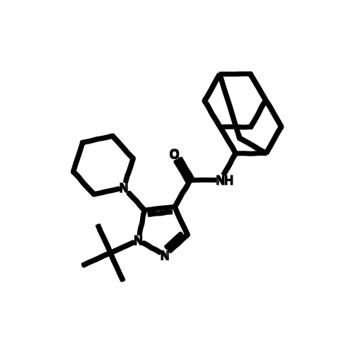 CC(C)(C)n1ncc(C(=O)NC2C3CC4CC(C3)CC2C4)c1N1CCCCC1